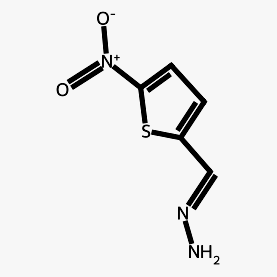 N/N=C/c1ccc([N+](=O)[O-])s1